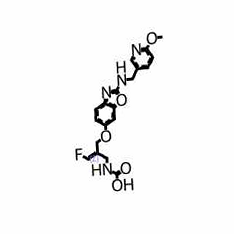 COc1ccc(CNc2nc3ccc(OC/C(=C\F)CNC(=O)O)cc3o2)cn1